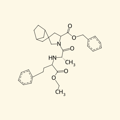 CCOC(=O)C(CCc1ccccc1)N[C@@H](C)C(=O)N1CC2(CC3CCC2C3)CC1C(=O)OCc1ccccc1